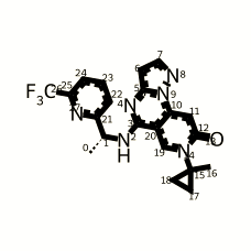 C[C@@H](Nc1nc2ccnn2c2cc(=O)n(C3(C)CC3)cc12)c1cccc(C(F)(F)F)n1